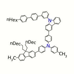 CCCCCCCCCCCCC1(CCCCCCCCCCCC)c2cc(C)ccc2-c2ccc(-c3ccc(N(c4ccc(C)cc4)c4ccc(-c5ccc6c(c5)c5ccccc5n6-c5cccc(-c6ccc(-c7ccc(CCCCCC)cc7)cc6)c5)cc4)cc3)cc21